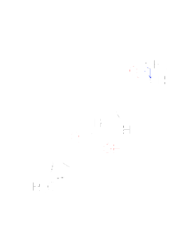 Cc1ccc(CCC(=O)/C=C/[C@@H]2[C@H]3CC(CCCCC(=O)N(C)C)=C[C@H]3C[C@H]2O)cc1